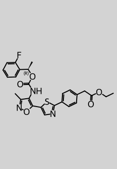 CCOC(=O)Cc1ccc(-c2ncc(-c3onc(C)c3NC(=O)O[C@H](C)c3ccccc3F)s2)cc1